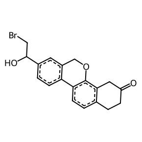 O=C1CCc2ccc3c(c2C1)OCc1cc(C(O)CBr)ccc1-3